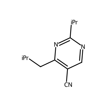 CC(C)Cc1nc(C(C)C)ncc1C#N